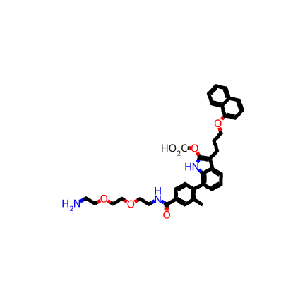 Cc1cc(C(=O)NCCOCCOCCN)ccc1-c1cccc2c(CCCOc3cccc4ccccc34)c(OC(=O)O)[nH]c12